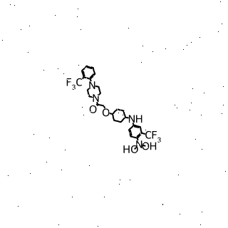 O=C(COC1CCC(Nc2ccc(N(O)O)c(C(F)(F)F)c2)CC1)N1CCN(c2ccccc2C(F)(F)F)CC1